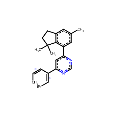 C/C=C\C(=C/C(C)C)c1cc(-c2cc(C)cc3c2C(C)(C)CC3)ncn1